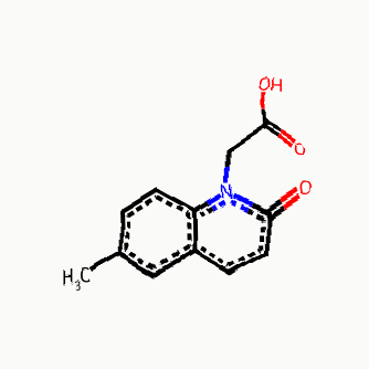 Cc1ccc2c(ccc(=O)n2CC(=O)O)c1